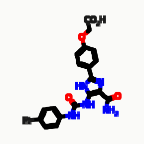 CCc1ccc(NC(=O)Nc2[nH]c(-c3ccc(OCC(=O)O)cc3)nc2C(N)=O)cc1